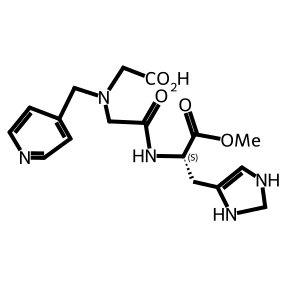 COC(=O)[C@H](CC1=CNCN1)NC(=O)CN(CC(=O)O)Cc1ccncc1